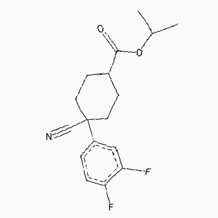 CC(C)OC(=O)C1CCC(C#N)(c2ccc(F)c(F)c2)CC1